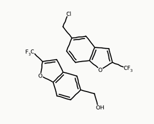 FC(F)(F)c1cc2cc(CCl)ccc2o1.OCc1ccc2oc(C(F)(F)F)cc2c1